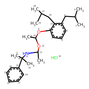 CC(C)Cc1cccc(OC(C)OC(C)NC(C)(C)c2ccccc2)c1CC(C)C.Cl